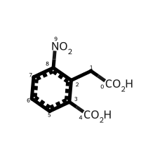 O=C(O)Cc1c(C(=O)O)cccc1[N+](=O)[O-]